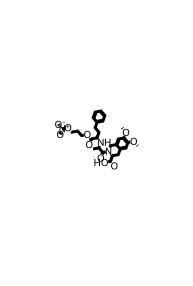 COc1cc2c(cc1OC)CN(C(=O)C(C)NC(CCc1ccccc1)C(=O)OCCCO[N+](=O)[O-])C(C(=O)O)C2